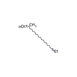 [CH2]C/C=C/CCCCCCCCCCCCCCCC(C)CCCCCCC[CH2]